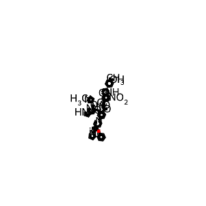 CC(C)c1ccccc1[C@H]1CCCN1C1CC2(CCN(c3ccc(C(=O)NS(=O)(=O)c4cc5c(c([N+](=O)[O-])c4)N[C@@H](C4CCC(C)(O)CC4)CO5)c(Oc4cc5cc[nH]c5nc4O[C@H]4CCN(C)C4)c3)CC2)C1